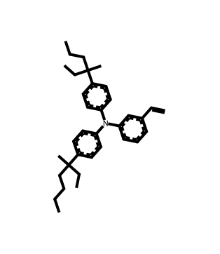 C=Cc1cccc(N(c2ccc(C(C)(CC)CCC)cc2)c2ccc(C(C)(CC)CCCC)cc2)c1